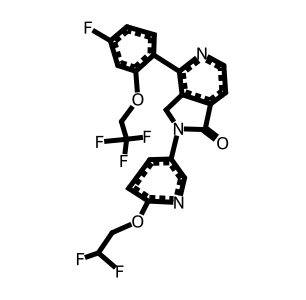 O=C1c2ccnc(-c3ccc(F)cc3OCC(F)(F)F)c2CN1c1ccc(OCC(F)F)nc1